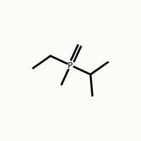 C=P(C)(CC)C(C)C